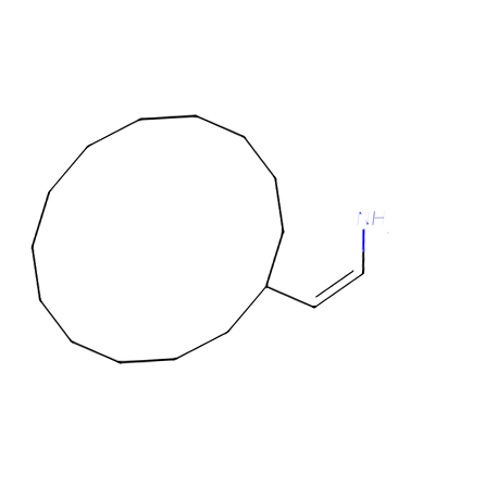 N/C=C\C1CCCCCCCCCCCCC1